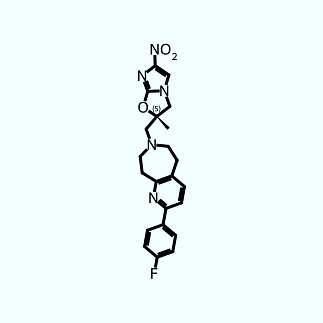 C[C@]1(CN2CCc3ccc(-c4ccc(F)cc4)nc3CC2)Cn2cc([N+](=O)[O-])nc2O1